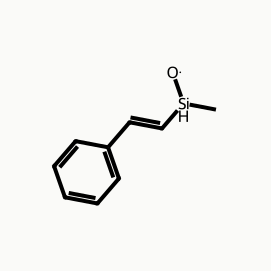 C[SiH]([O])C=Cc1ccccc1